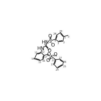 Cc1ccc(S(=O)(=O)NC(=O)Nc2ccccc2OS(=O)(=O)c2ccccc2)cc1